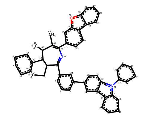 CCC1C(c2cccc(-c3ccc4c(c3)c3ccccc3n4-c3ccccc3)c2)=NC(c2ccc3c(c2)oc2ccccc23)=C(C)C(C)C1c1ccccc1